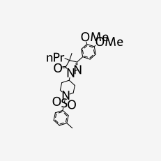 CCCC1(C)C(=O)N(C2CCN(S(=O)(=O)c3cccc(C)c3)CC2)N=C1c1ccc(OC)c(OC)c1